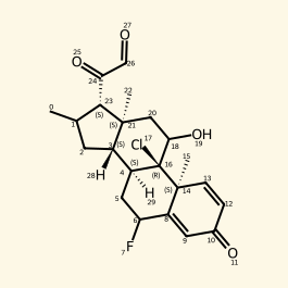 CC1C[C@H]2[C@@H]3CC(F)C4=CC(=O)C=C[C@]4(C)[C@@]3(Cl)C(O)C[C@]2(C)[C@H]1C(=O)C=O